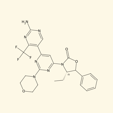 CC[C@H]1C(c2ccccc2)OC(=O)N1c1cc(-c2cnc(N)nc2C(F)(F)F)nc(N2CCOCC2)n1